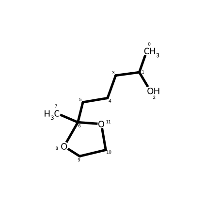 CC(O)CCCC1(C)OCCO1